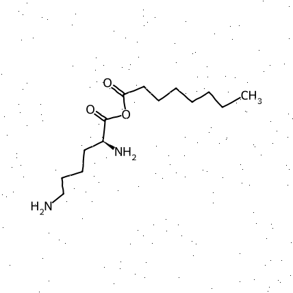 CCCCCCCC(=O)OC(=O)[C@@H](N)CCCCN